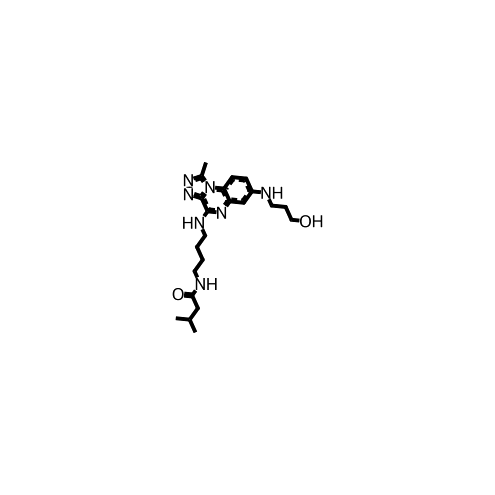 Cc1nnc2c(NCCCCNC(=O)CC(C)C)nc3cc(NCCCO)ccc3n12